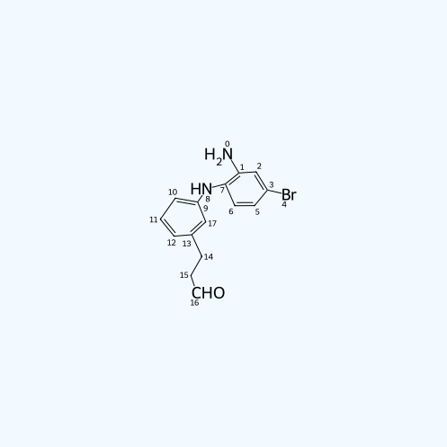 Nc1cc(Br)ccc1Nc1cccc(CCC=O)c1